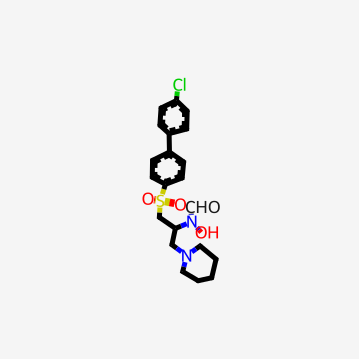 O=CN(O)C(CN1CCCCC1)CS(=O)(=O)c1ccc(-c2ccc(Cl)cc2)cc1